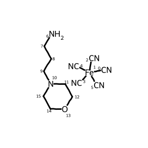 N#[C][Fe]([C]#N)([C]#N)([C]#N)[C]#N.NCCCN1CCOCC1